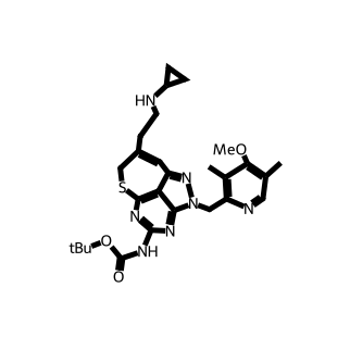 COc1c(C)cnc(Cn2nc3c4c(nc(NC(=O)OC(C)(C)C)nc42)SCC(CCNC2CC2)=C3)c1C